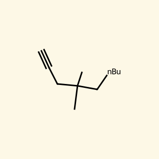 C#CCC(C)(C)CCCC[CH2]